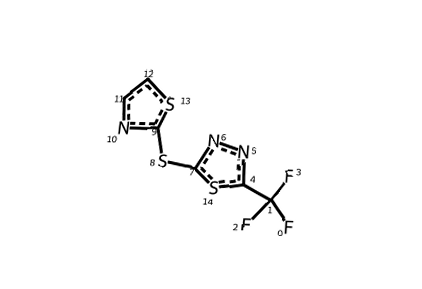 FC(F)(F)c1nnc(Sc2nccs2)s1